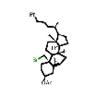 CC(=O)O[C@H]1CC[C@@]2(CBr)C(=CC[C@@H]3[C@@H]2CC[C@]2(C)[C@@H]([C@H](C)CCCC(C)C)CC[C@@H]32)C1